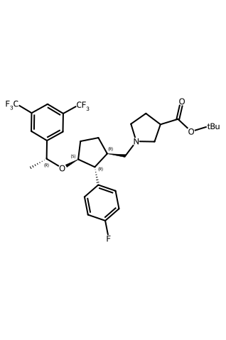 C[C@@H](O[C@H]1CC[C@@H](CN2CCC(C(=O)OC(C)(C)C)C2)[C@@H]1c1ccc(F)cc1)c1cc(C(F)(F)F)cc(C(F)(F)F)c1